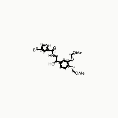 COCOc1ccc(C(O)CNC(=O)c2cc(Br)c[nH]2)cc1OCOC